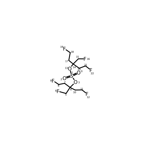 O=S(=O)(OC(CF)(CCF)CCF)OC(CF)(CCF)CCF